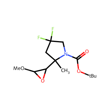 COC1OC1C1(C)CC(F)(F)CN1C(=O)OC(C)(C)C